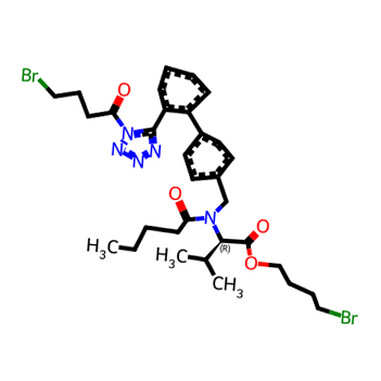 CCCCC(=O)N(Cc1ccc(-c2ccccc2-c2nnnn2C(=O)CCCBr)cc1)[C@@H](C(=O)OCCCCBr)C(C)C